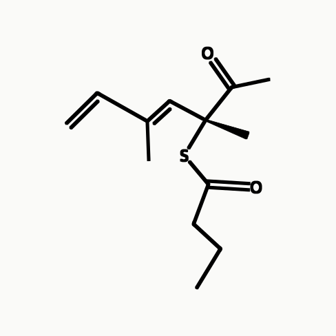 C=C/C(C)=C/[C@@](C)(SC(=O)CCC)C(C)=O